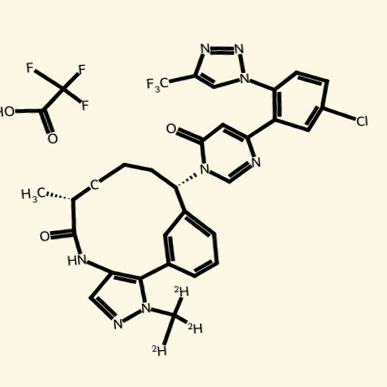 O=C(O)C(F)(F)F.[2H]C([2H])([2H])n1ncc2c1-c1cccc(c1)[C@@H](n1cnc(-c3cc(Cl)ccc3-n3cc(C(F)(F)F)nn3)cc1=O)CCC[C@@H](C)C(=O)N2